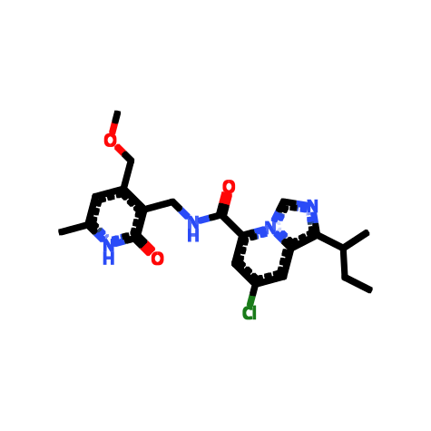 CCC(C)c1ncn2c(C(=O)NCc3c(COC)cc(C)[nH]c3=O)cc(Cl)cc12